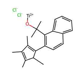 CC1=C(C)C(C)C(c2ccc3ccccc3c2C(C)(C)[O][Ti+2])=C1C.[Cl-].[Cl-]